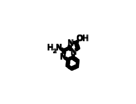 Nc1nc2ccccc2n2cc(O)nc12